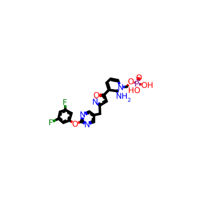 NC1C(c2cc(Cc3cnc(Oc4cc(F)cc(F)c4)nc3)no2)=CC=CN1COP(=O)(O)O